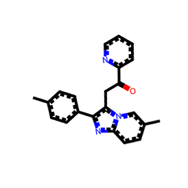 Cc1ccc(-c2nc3ccc(C)cn3c2CC(=O)c2ccccn2)cc1